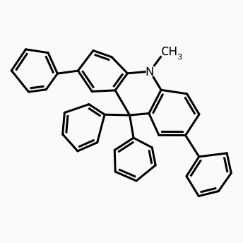 CN1c2ccc(-c3ccccc3)cc2C(c2ccccc2)(c2ccccc2)c2cc(-c3ccccc3)ccc21